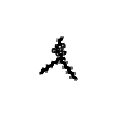 CCCCCCCCC(C)(CCCCCCCC)C(=O)OS(=O)(=O)OC(=O)CC